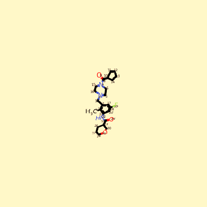 Cc1c(CN2CCN(C(=O)C3CCCC3)CC2)cc(F)cc1NC(=O)C1CCCOC1